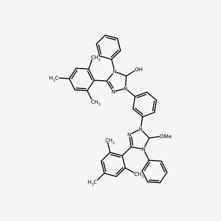 COC1N(c2cccc(N3N=C(c4c(C)cc(C)cc4C)N(c4ccccc4)C3O)c2)N=C(c2c(C)cc(C)cc2C)N1c1ccccc1